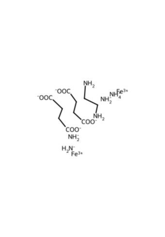 NCCN.O=C([O-])CCC(=O)[O-].O=C([O-])CCC(=O)[O-].[Fe+3].[Fe+3].[NH2-].[NH2-].[NH2-].[NH4+]